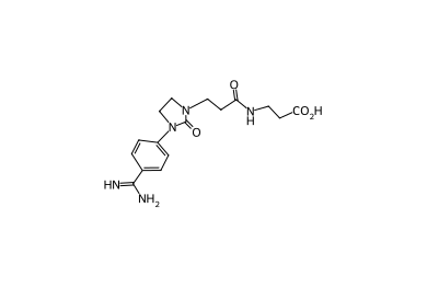 N=C(N)c1ccc(N2CCN(CCC(=O)NCCC(=O)O)C2=O)cc1